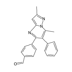 Cc1cc2nc(-c3ccc(C=O)cc3)c(-c3ccccc3)c(C)n2n1